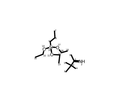 CC(=N)C(C)(C)C.CCC[Si](OCC)(OCC)OCC